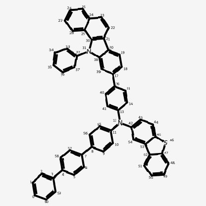 c1ccc(-c2ccc(-c3ccc(N(c4ccc(-c5ccc6c7ccc8ccccc8c7n(-c7ccccc7)c6c5)cc4)c4ccc5sc6ccccc6c5c4)cc3)cc2)cc1